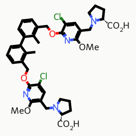 COc1nc(OCc2cccc(-c3cccc(COc4nc(OC)c(CN5CCC[C@@H]5C(=O)O)cc4Cl)c3C)c2C)c(Cl)cc1CN1CCC[C@@H]1C(=O)O